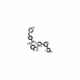 Cc1cc(-c2cncc(-c3ccnc(Nc4cc(NC(=O)c5ccc(CN6CCN(C)CC6)cc5)ccc4C)n3)c2)on1